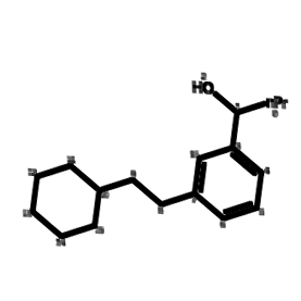 CCCC(O)c1cccc(CCC2CCCCC2)c1